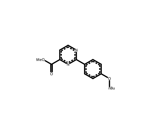 CCCCOc1ccc(-c2nccc(C(=O)OC)n2)cc1